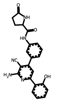 N#Cc1c(-c2cccc(NC(=O)C3CCC(=O)N3)c2)cc(-c2ccccc2O)nc1N